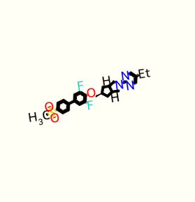 CCc1cnc(N2C[C@H]3C[C@@H](COc4c(F)cc(-c5ccc(S(C)(=O)=O)cc5)cc4F)C[C@H]3C2)nc1